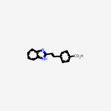 O=C(O)c1ccc(/C=C/c2nc3ccccc3[nH]2)cc1